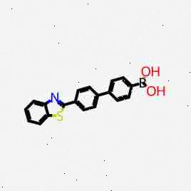 OB(O)c1ccc(-c2ccc(-c3nc4ccccc4s3)cc2)cc1